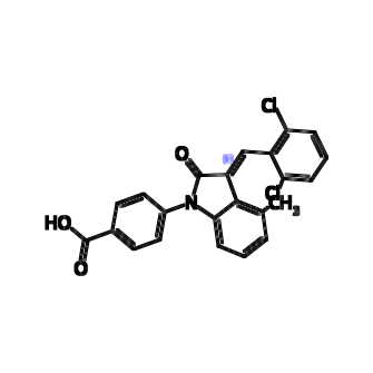 Cc1cccc2c1/C(=C\c1c(Cl)cccc1Cl)C(=O)N2c1ccc(C(=O)O)cc1